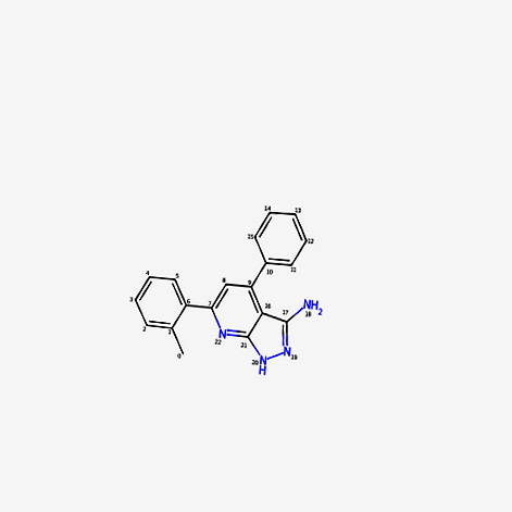 Cc1ccccc1-c1cc(-c2ccccc2)c2c(N)n[nH]c2n1